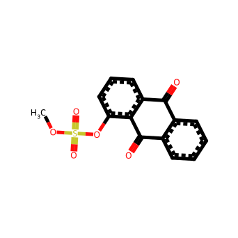 COS(=O)(=O)Oc1cccc2c1C(=O)c1ccccc1C2=O